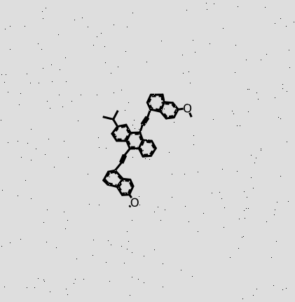 COc1ccc2c(C#Cc3c4ccccc4c(C#Cc4cccc5cc(OC)ccc45)c4cc(C(C)C)ccc34)cccc2c1